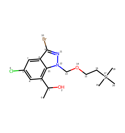 CC(O)c1cc(Cl)cc2c(Br)nn(COCC[Si](C)(C)C)c12